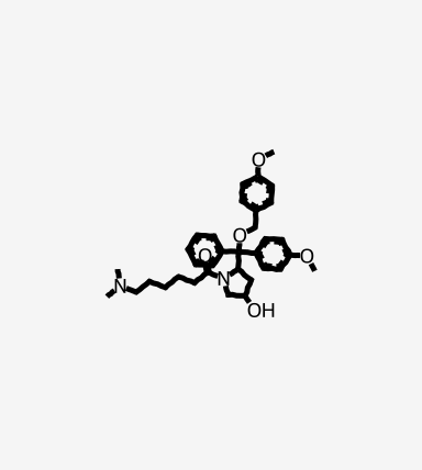 COc1ccc(COC(c2ccccc2)(c2ccc(OC)cc2)C2CC(O)CN2C(=O)CCCCCN(C)C)cc1